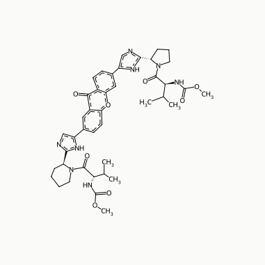 COC(=O)N[C@H](C(=O)N1CCCC[C@H]1c1ncc(-c2ccc3oc4cc(-c5cnc([C@@H]6CCCN6C(=O)[C@@H](NC(=O)OC)C(C)C)[nH]5)ccc4c(=O)c3c2)[nH]1)C(C)C